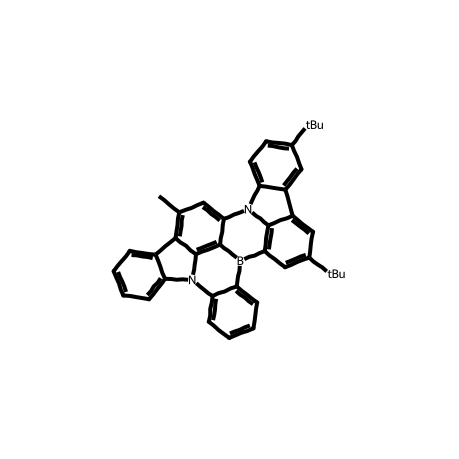 Cc1cc2c3c4c1c1ccccc1n4-c1ccccc1B3c1cc(C(C)(C)C)cc3c4cc(C(C)(C)C)ccc4n-2c13